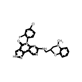 CN1CC(CNc2ncc3c4n[nH]cc4c(=O)n(-c4ccc(Cl)cc4F)c3n2)Oc2ccccc21